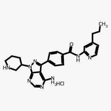 CCCc1ccnc(NC(=O)c2ccc(-c3nn(C4CCCNC4)c4ncnc(N)c34)cc2)c1.Cl